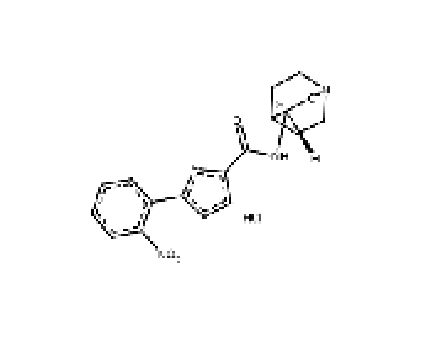 Cl.O=C(N[C@H]1CN2CCC1CC2)c1ccc(-c2ccccc2[N+](=O)[O-])s1